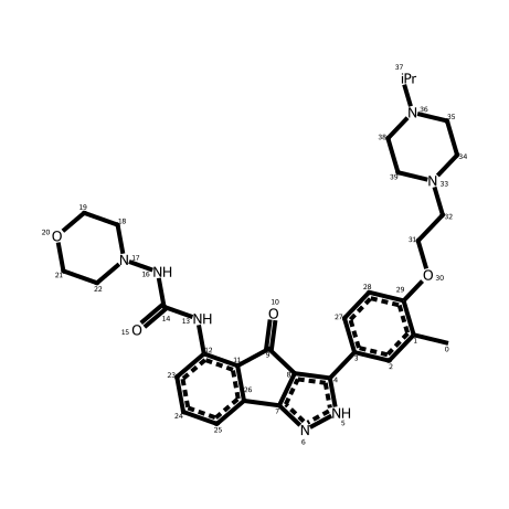 Cc1cc(-c2[nH]nc3c2C(=O)c2c(NC(=O)NN4CCOCC4)cccc2-3)ccc1OCCN1CCN(C(C)C)CC1